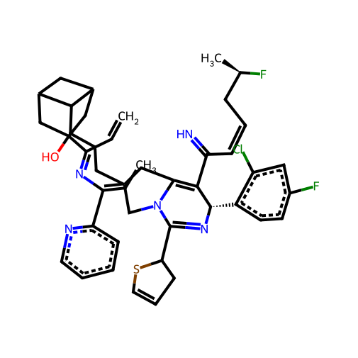 C=C/C(=N\C(=C/C)c1ccccn1)C1(O)CC2CC(C1)C2CCCC1CC2=C(C(=N)/C=C\C[C@@H](C)F)[C@H](c3ccc(F)cc3Cl)N=C(C3CC=CS3)N2C1